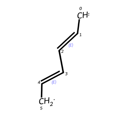 [CH]/C=C/C=C/[CH2]